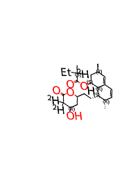 [2H]C1([2H])C(=O)OC(CC[C@@H]2[C@@H]3C(=C[C@H](C)C[C@@H]3OC(=O)[C@@]([2H])(C)CC)C=C[C@@H]2C)C[C@H]1O